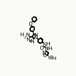 CC(C)(C)c1cc(NC(=O)Nc2ccc(-n3nc(-c4ccc(Oc5ccccc5)cc4)c4c(N)ncnc43)cc2)no1